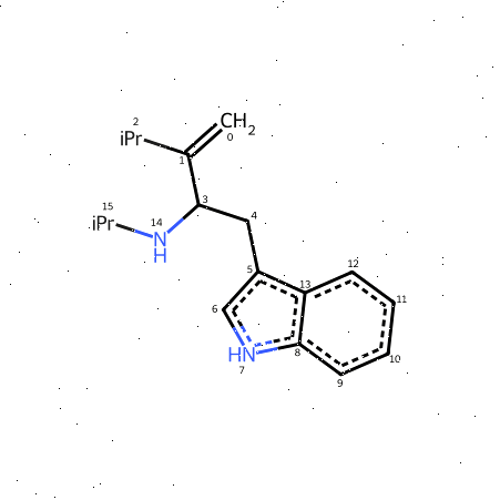 C=C(C(C)C)C(Cc1c[nH]c2ccccc12)NC(C)C